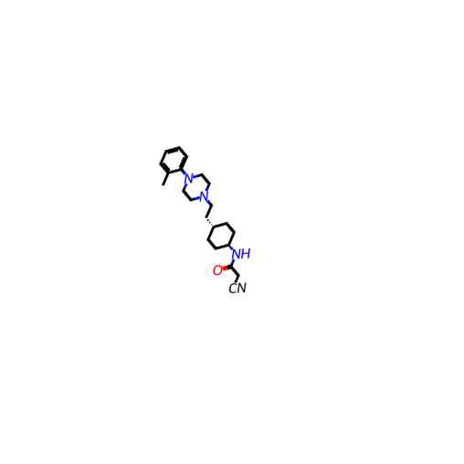 Cc1ccccc1N1CCN(CC[C@H]2CC[C@H](NC(=O)CC#N)CC2)CC1